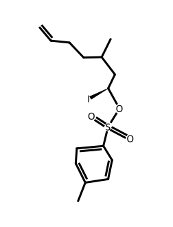 C=CCCC(C)C[C@H](I)OS(=O)(=O)c1ccc(C)cc1